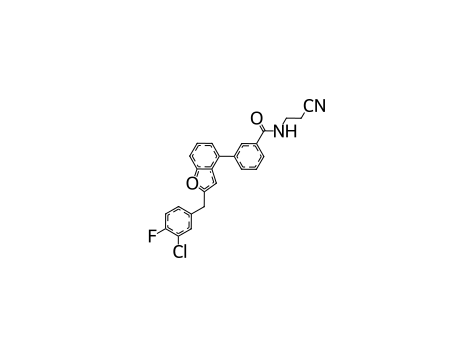 N#CCCNC(=O)c1cccc(-c2cccc3oc(Cc4ccc(F)c(Cl)c4)cc23)c1